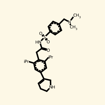 CC(C)c1cc(C2=CCCNC2)cc(C(C)C)c1CC(=O)NS(=O)(=O)c1ccc(CN(C)C)cc1